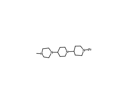 CC(C)N1CCC(N2CCC(N3CCN(C)CC3)CC2)CC1